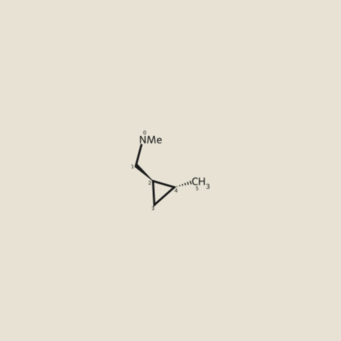 CNC[C@@H]1C[C@H]1C